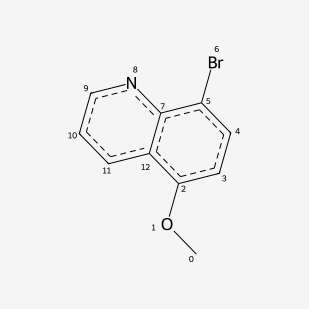 COc1ccc(Br)c2ncccc12